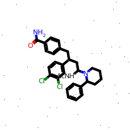 CC(=O)NC(CC(Cc1ccc(C(N)=O)cc1)c1ccc(Cl)c(Cl)c1)N1CCCCC1c1ccccc1